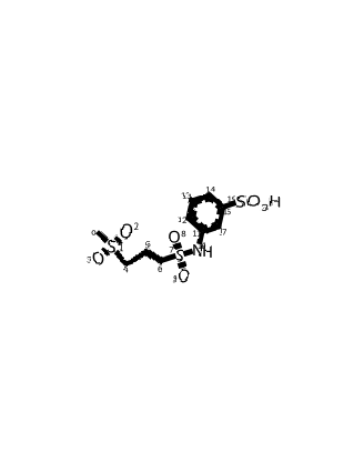 CS(=O)(=O)CCCS(=O)(=O)Nc1cccc(S(=O)(=O)O)c1